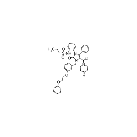 CCCS(=O)(=O)Nc1ccccc1-n1c(-c2ccccc2)c(C(=O)N2CCNCC2)n(Cc2cccc(OCCOc3ccccc3)c2)c1=O